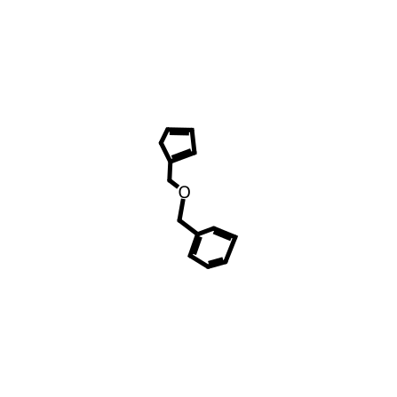 C1=CCC(COCc2ccccc2)=C1